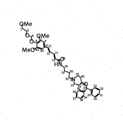 COCCOCOc1c(OC)cc(C=CC=CC(=O)NCCCCN2CCC(OC(c3ccccc3)c3ccccc3)CC2)cc1OC